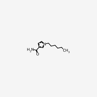 CCCCCCn1ccc(C(N)=O)c1